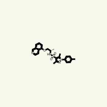 Cc1ccc(-n2nc(C)c(S(=O)(=O)N[C@@H](C)COc3cccc4cnccc34)c2C)cc1